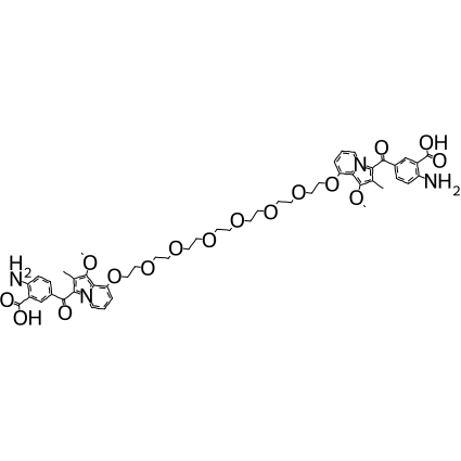 COc1c(C)c(C(=O)c2ccc(N)c(C(=O)O)c2)n2cccc(OCCOCCOCCOCCOCCOCCOCCOc3cccn4c(C(=O)c5ccc(N)c(C(=O)O)c5)c(C)c(OC)c34)c12